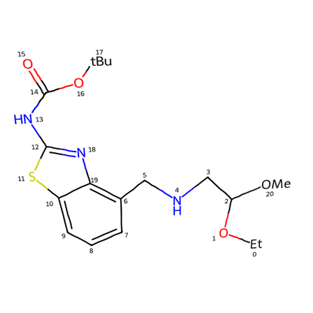 CCOC(CNCc1cccc2sc(NC(=O)OC(C)(C)C)nc12)OC